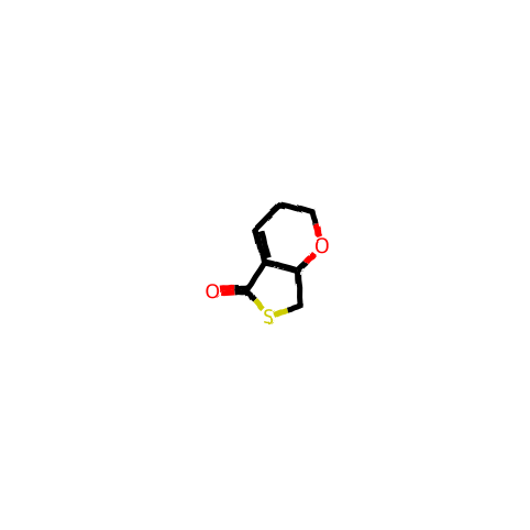 O=C1SCC2OCCC=C12